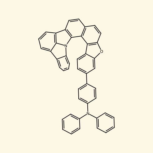 c1ccc(N(c2ccccc2)c2ccc(-c3ccc4c(c3)oc3ccc5ccc6c7cccc8c9ccccc9n(c87)c6c5c34)cc2)cc1